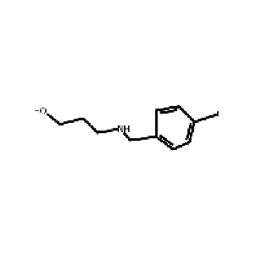 OCCCNCc1ccc(F)cc1